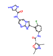 Cc1nc(C)c(C(=O)Nc2ccc(F)c(-c3cn4cc(NC(=O)c5c[nH]cn5)cnc4n3)c2)o1